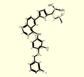 CCCN(CCC)[C@H](C[S+](C)[O-])c1ccc(-c2ccc3ncnc(Nc4ccc(OCc5cccc(F)c5)c(Cl)c4)c3c2)o1